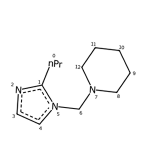 CCCc1nccn1CN1CCCCC1